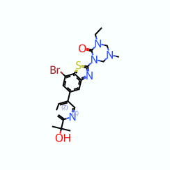 C=C(/N=C\C(=C/C)c1cc(Br)c2sc(N3CN(C)CN(CC)C3=O)nc2c1)C(C)(C)O